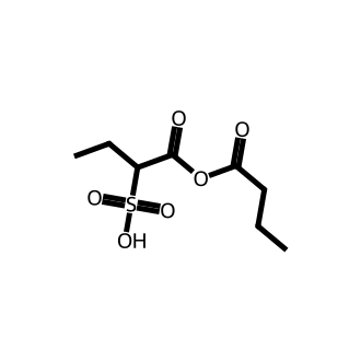 CCCC(=O)OC(=O)C(CC)S(=O)(=O)O